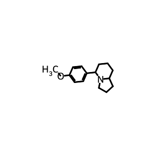 COc1ccc(C2CCCC3CCCN32)cc1